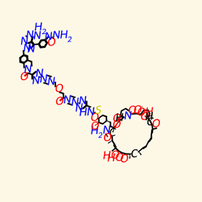 CO[C@H]1C[C@@H]2CC[C@@H](C)[C@@](O)(O2)C(=O)C(=O)N2CCCC[C@H]2C(=O)O[C@H]([C@H](N)C[C@@H]2CC[C@@H](OC(=S)NCc3cnc(N4CCN(C(=O)CCOCCN5CCN(c6ncc(C(=O)N7CCc8cc(Cn9nc(-c%10ccc%11oc(N)nc%11c%10)c%10c(N)ncnc%109)ccc8C7)cn6)CC5)CC4)nc3)[C@H](OC)C2)C[C@@H](OC)[C@H](C)/C=C(\C)[C@@H](O)[C@@H](O)C(=O)[C@H](C)C[C@H](C)/C=C/C=C/C=C/1C